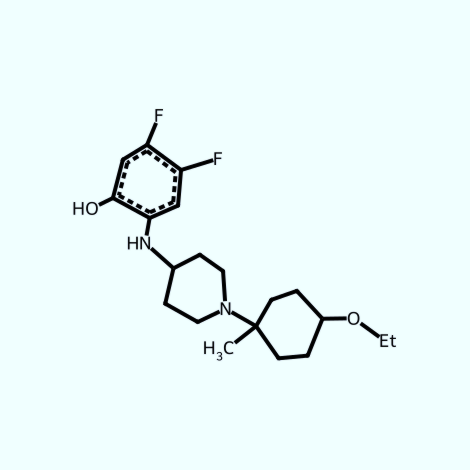 CCOC1CCC(C)(N2CCC(Nc3cc(F)c(F)cc3O)CC2)CC1